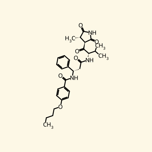 CCCCOc1ccc(C(=O)N[C@@H](CC(=O)N[C@H](C(=O)[C@@H]2C(=O)NC(=O)[C@H]2C)C(C)C)c2ccccc2)cc1